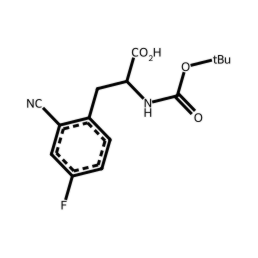 CC(C)(C)OC(=O)NC(Cc1ccc(F)cc1C#N)C(=O)O